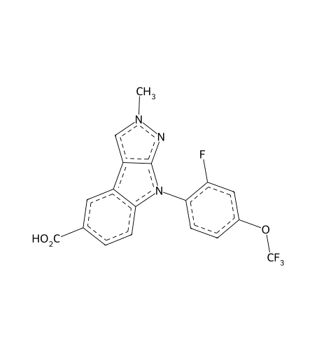 Cn1cc2c3cc(C(=O)O)ccc3n(-c3ccc(OC(F)(F)F)cc3F)c2n1